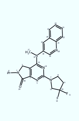 CC(C)N1Cc2c(nc(N3CCC(F)(F)C3)nc2N(C)c2cnc3ccccc3c2)C1=O